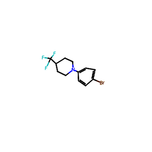 FC(F)(F)C1CCN(c2ccc(Br)cc2)CC1